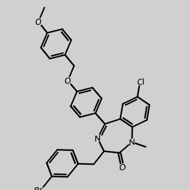 COc1ccc(COc2ccc(C3=NC(Cc4cccc(Br)c4)C(=O)N(C)c4ccc(Cl)cc43)cc2)cc1